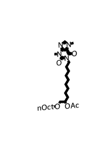 CCCCCCCCOCC(CCCCCCCCCn1c(=O)c2c(ncn2C)n(C)c1=O)OC(C)=O